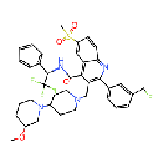 COC1CCCN(C2CCN(Cc3c(-c4cccc(CF)c4)nc4ccc(S(C)(=O)=O)cc4c3C(=O)N[C@H](c3ccccc3)C(F)(F)F)CC2)C1